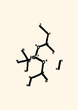 CC.CCC(C)O[SiH](OC(C)CC)C(C)(C)C